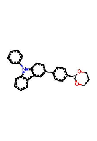 c1ccc(-n2c3ccccc3c3cc(-c4ccc(B5OCCCO5)cc4)ccc32)cc1